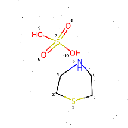 C1CSCCN1.O=S(=O)(O)O